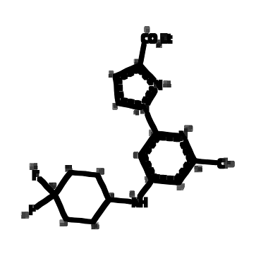 CCOC(=O)c1ccn(-c2cc(NC3CCC(F)(F)CC3)cc(Cl)n2)n1